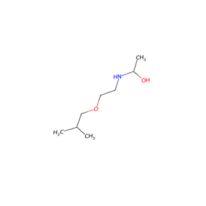 CC(C)COCCNC(C)O